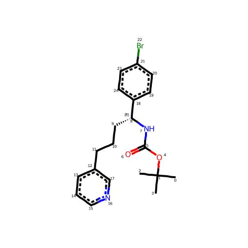 CC(C)(C)OC(=O)N[C@H](CCCc1cccnc1)c1ccc(Br)cc1